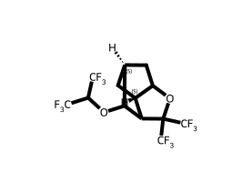 FC(F)(F)C(OC1C2[C@@H]3C[C@H]1CC3OC2(C(F)(F)F)C(F)(F)F)C(F)(F)F